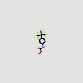 O=C(CI)Nc1ccc(C(C(F)(F)F)(C(F)(F)F)C(F)(F)F)cc1